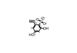 O=S(=O)([O-])c1c(O)cc(O)cc1O.[Na+]